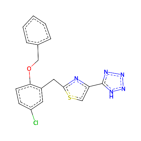 Clc1ccc(OCc2ccccc2)c(Cc2nc(-c3nnn[nH]3)cs2)c1